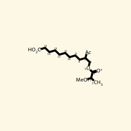 COC(C)C(=O)OCC(CCCCCCCCC(=O)O)C(C)=O